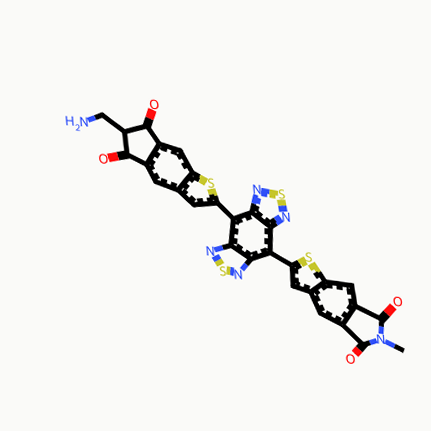 CN1C(=O)c2cc3cc(-c4c5c(c(-c6cc7cc8c(cc7s6)C(=O)C(CN)C8=O)c6nsnc46)N=S=N5)sc3cc2C1=O